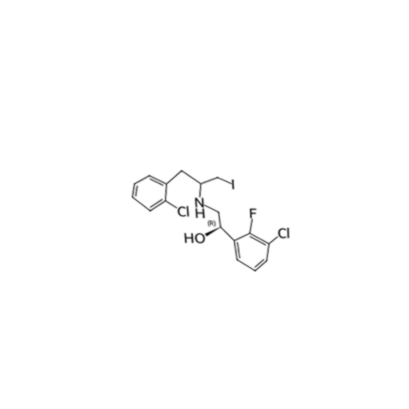 O[C@@H](CNC(CI)Cc1ccccc1Cl)c1cccc(Cl)c1F